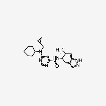 CC1C=c2[nH]ncc2=CC1NC(=O)c1cc(N(CC2CC2)C2CCCCC2)ncn1